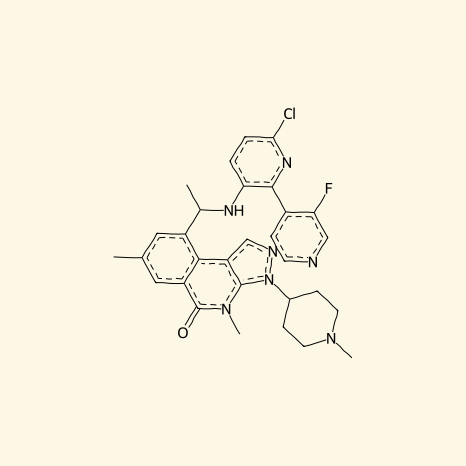 Cc1cc(C(C)Nc2ccc(Cl)nc2-c2ccncc2F)c2c(c1)c(=O)n(C)c1c2cnn1C1CCN(C)CC1